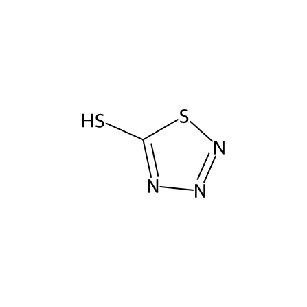 Sc1nnns1